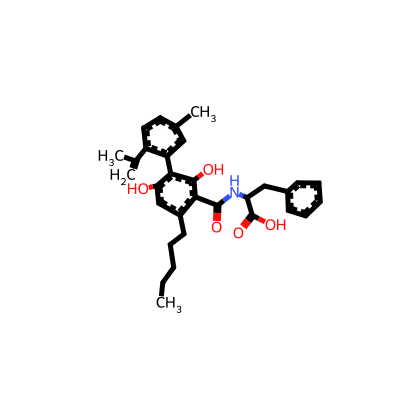 C=C(C)c1ccc(C)cc1-c1c(O)cc(CCCCC)c(C(=O)NC(Cc2ccccc2)C(=O)O)c1O